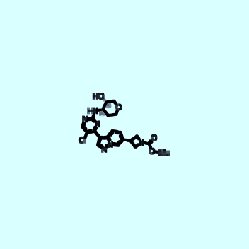 CC(C)(C)OC(=O)N1CC(c2ccc3c(-c4nc(N[C@@H]5CCOC[C@H]5O)ncc4Cl)cnn3c2)C1